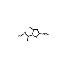 CCOC(C)N1CC(NC)CC1C